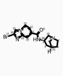 O=C(N[C@@H]1C[C@@H]2CCN(C2)C1)c1ccn2cc(Br)nc2c1